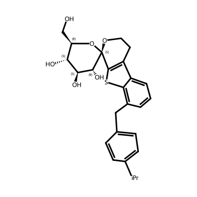 CC(C)c1ccc(Cc2cccc3c4c(sc23)[C@@]2(OCC4)O[C@H](CO)[C@@H](O)[C@H](O)[C@H]2O)cc1